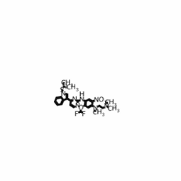 CN(C)CCN(C)c1cc(OC(F)F)c(Nc2nccc(-c3cn(SN(C)C)c4ccccc34)n2)cc1[N+](=O)[O-]